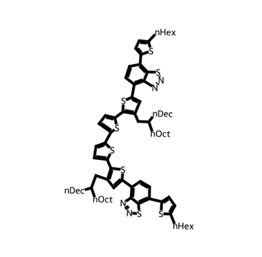 CCCCCCCCCCC(CCCCCCCC)Cc1cc(-c2ccc(-c3ccc(CCCCCC)s3)c3snnc23)sc1-c1ccc(-c2ccc(-c3sc(-c4ccc(-c5ccc(CCCCCC)s5)c5snnc45)cc3CC(CCCCCCCC)CCCCCCCCCC)s2)s1